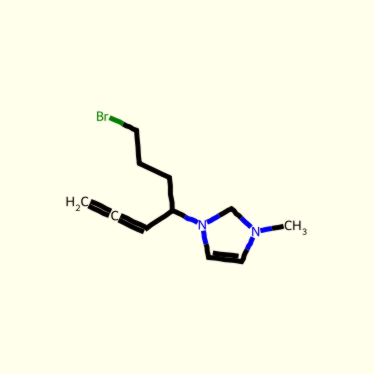 C=C=CC(CCCBr)N1C=CN(C)C1